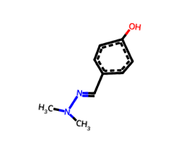 CN(C)/N=C/c1ccc(O)cc1